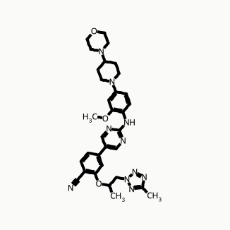 COc1cc(N2CCC(N3CCOCC3)CC2)ccc1Nc1ncc(-c2ccc(C#N)c(OC(C)Cn3nnc(C)n3)c2)cn1